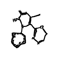 CC1=C(C2=NN=CCO2)N(c2ccccc2)NN=[C]1